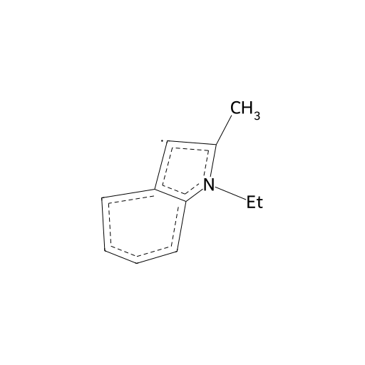 CCn1c(C)[c]c2ccccc21